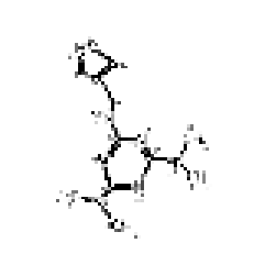 CN(C)c1nc(NCc2cc[nH]c2)nc(N(C)C)n1